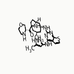 Cc1cc(Nc2nc(N[C@H]3C[C@@H](C)CC4(C(=O)[C@H]5COCCN5)CC[C@H](C3)N4)nc3sccc23)n[nH]1